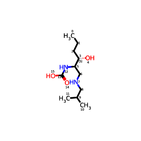 CCC[C@H](O)C(CNCC(C)C)NC(=O)O